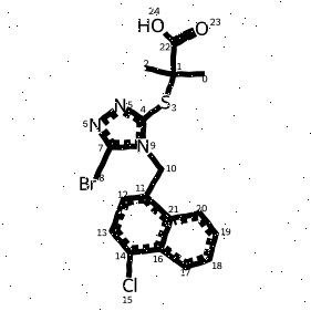 CC(C)(Sc1nnc(Br)n1Cc1ccc(Cl)c2ccccc12)C(=O)O